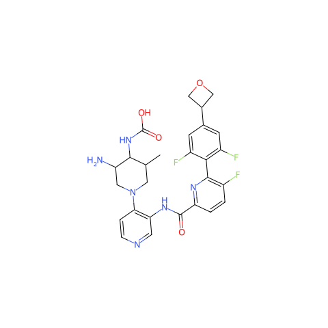 CC1CN(c2ccncc2NC(=O)c2ccc(F)c(-c3c(F)cc(C4COC4)cc3F)n2)CC(N)C1NC(=O)O